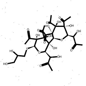 CC(=O)C(O)[C@H]1O[C@@H](SCC(S)CO)[C@@](O)(C(C)=O)[C@](O)(C(C)=O)[C@@]1(O)[C@@H]1O[C@H](C(O)C(C)=O)[C@](O)(C(C)=O)[C@@](O)(C(C)=O)[C@]1(O)C(C)=O